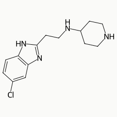 Clc1ccc2[nH]c(CCNC3CCNCC3)nc2c1